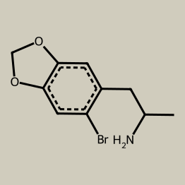 CC(N)Cc1cc2c(cc1Br)OCO2